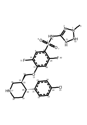 CN1N=C(NS(=O)(=O)c2cc(F)c(OC[C@@H]3CNCC[C@H]3c3ccc(Cl)cc3)cc2F)NN1